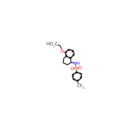 O=C(O)COc1cccc2c1CCCC2NS(=O)(=O)c1ccc(C(F)(F)F)cc1